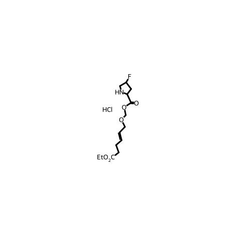 CCOC(=O)CC/C=C/COCOC(=O)C1CC(F)CN1.Cl